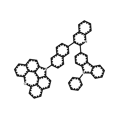 c1ccc(-n2c3ccccc3c3cc(-c4nc5ccccc5cc4-c4ccc5cc(-n6c7ccc8cccc9oc%10cccc%11ccc6c(c%11%10)c7c89)ccc5c4)ccc32)cc1